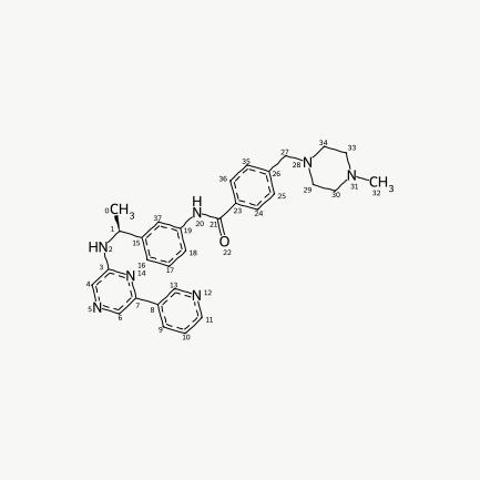 C[C@H](Nc1cncc(-c2cccnc2)n1)c1cccc(NC(=O)c2ccc(CN3CCN(C)CC3)cc2)c1